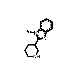 CC(C)n1c(C2CCCNC2)nc2ccccc21